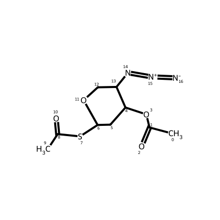 CC(=O)OC1CC(SC(C)=O)OCC1N=[N+]=[N-]